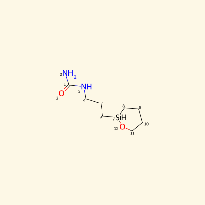 NC(=O)NCCC[SiH]1CCCCO1